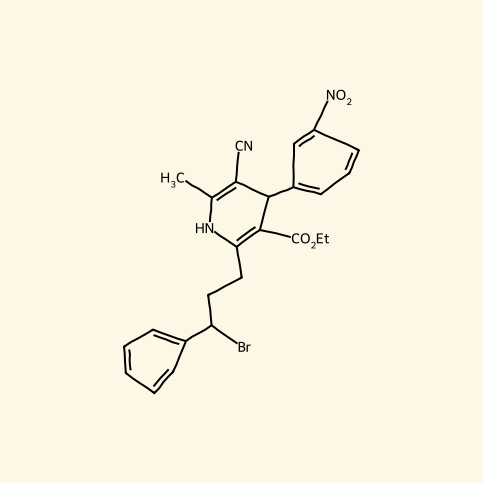 CCOC(=O)C1=C(CCC(Br)c2ccccc2)NC(C)=C(C#N)C1c1cccc([N+](=O)[O-])c1